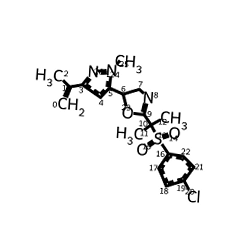 C=C(C)c1cc(C2CN=C(C(C)(C)S(=O)(=O)c3ccc(Cl)cc3)O2)n(C)n1